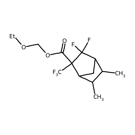 CCOCOC(=O)C1(C(F)(F)F)C2CC(C(C)C2C)C1(F)F